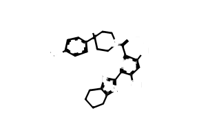 C=C(c1cc(-c2nc3c([nH]2)CCCC3)c(C)cc1C)N1CCC(F)(c2ccc(C#N)cc2)CC1